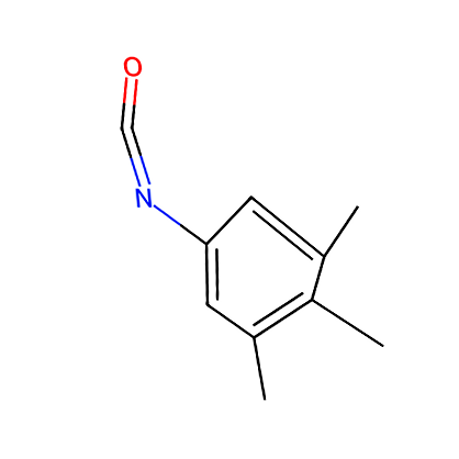 Cc1cc(N=C=O)cc(C)c1C